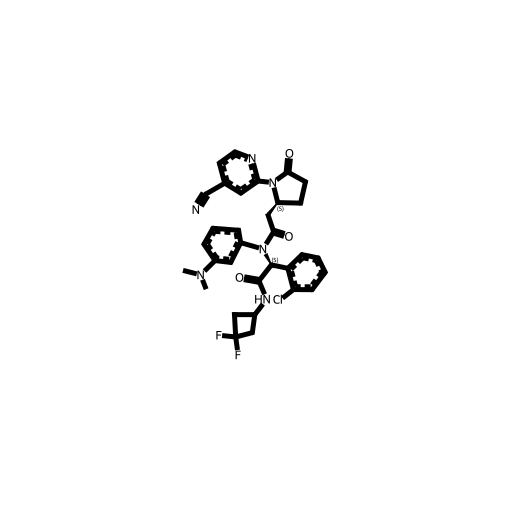 CN(C)c1cccc(N(C(=O)C[C@@H]2CCC(=O)N2c2cc(C#N)ccn2)[C@H](C(=O)NC2CC(F)(F)C2)c2ccccc2Cl)c1